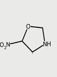 O=[N+]([O-])C1[CH]NCO1